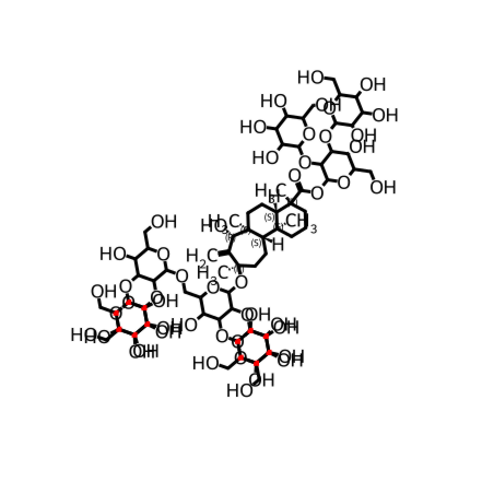 C=C1[C@H](O)[C@@]2(C)CC[C@H]3[C@@](C)(CCC[C@@]3(C)C(=O)OC3OC(CO)C(O)C(OC4OC(CO)C(O)C(O)C4O)C3OC3OC(CO)C(O)C(O)C3O)[C@@H]2CC[C@@]1(C)OC1OC(COC2OC(CO)C(O)C(OC3OC(CO)C(O)C(O)C3O)C2OC2OC(CO)C(O)C(O)C2O)C(O)C(OC2OC(CO)C(O)C(O)C2O)C1OC1OC(CO)C(O)C(O)C1O